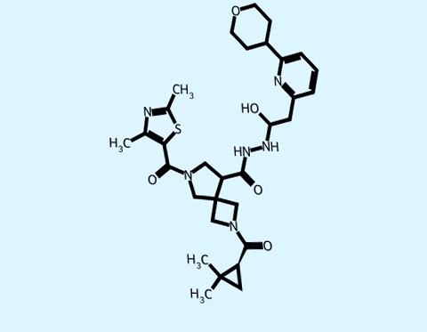 Cc1nc(C)c(C(=O)N2CC(C(=O)NNC(O)Cc3cccc(C4CCOCC4)n3)C3(C2)CN(C(=O)[C@H]2CC2(C)C)C3)s1